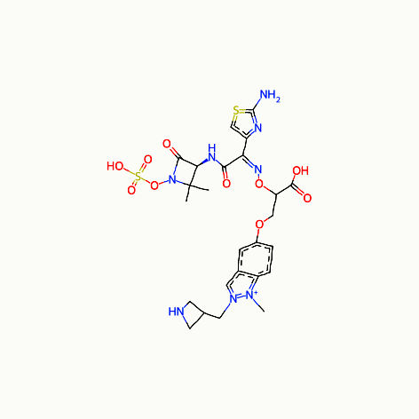 C[n+]1c2ccc(OCC(O/N=C(\C(=O)N[C@@H]3C(=O)N(OS(=O)(=O)O)C3(C)C)c3csc(N)n3)C(=O)O)cc2cn1CC1CNC1